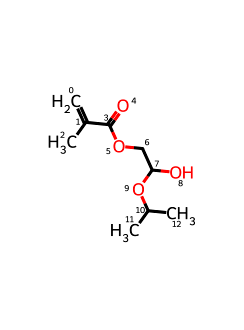 C=C(C)C(=O)OCC(O)OC(C)C